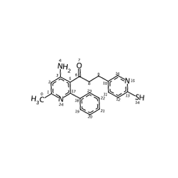 Cc1cc(N)c(C(=O)CCc2ccc(S)nc2)c(-c2ccccc2)n1